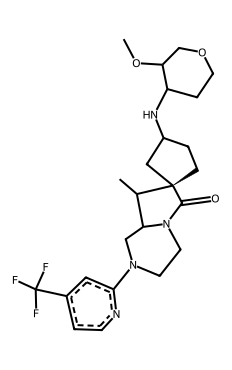 COC1COCCC1NC1CC[C@@]2(C1)C(=O)N1CCN(c3cc(C(F)(F)F)ccn3)CC1C2C